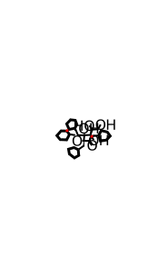 O=C(Cc1ccccc1)[C@](Cc1ccccc1)(OCc1ccccc1)C(O)(Cc1ccccc1)C(O)C(O)CO